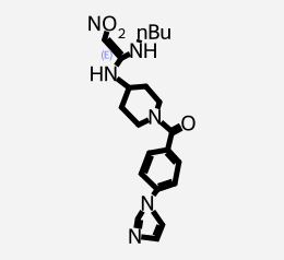 CCCCN/C(=C\[N+](=O)[O-])NC1CCN(C(=O)c2ccc(-n3ccnc3)cc2)CC1